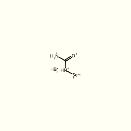 Br.NC(=O)N[SeH]